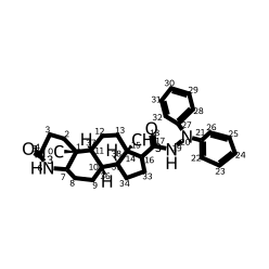 C[C@]12CCC(=O)NC1CC[C@@H]1[C@H]2CC[C@]2(C)C(C(=O)NN(c3ccccc3)c3ccccc3)CC[C@@H]12